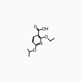 CCOc1nc(OC(C)C)ccc1C(=O)O